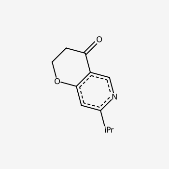 CC(C)c1cc2c(cn1)C(=O)CCO2